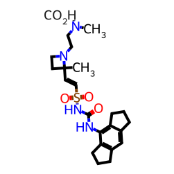 CN(CCN1CCC1(C)/C=C/S(=O)(=O)NC(=O)Nc1c2c(cc3c1CCC3)CCC2)C(=O)O